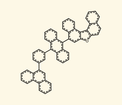 c1cc(-c2c3ccccc3c(-c3cc4oc5ccc6ccccc6c5c4c4ccccc34)c3ccccc23)cc(-c2cc3ccccc3c3ccccc23)c1